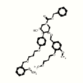 COCCCOc1cc(CO[C@H]2CN(C(=O)OCc3ccccc3)C[C@@H](O)[C@@H]2c2ccc(OCCCOCc3ccccc3OC)cc2)ccc1OC